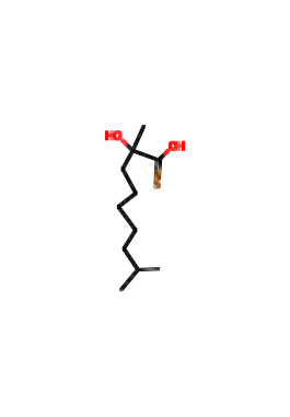 CC(C)CCCCCC(C)(O)C(O)=S